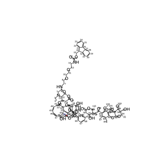 CCN(CC(=O)NCCOCCOCCNC(=O)OCC1c2ccccc2-c2ccccc21)[C@H]1CO[C@@H](O[C@H]2[C@H](O[C@H]3C#CC=CC#C[C@]4(O)CC(=O)C(NC(=O)OC)=C3/C4=C\CSSc3ccccn3)O[C@H](C)[C@@H](NO[C@H]3C[C@H](O)[C@H](SC(=O)c4c(C)c(I)c(O[C@@H]5O[C@@H](C)[C@H](O)[C@@H](OC)[C@H]5O)c(OC)c4OC)[C@@H](C)O3)[C@@H]2O)C[C@@H]1OC